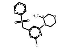 C[C@H]1COCCN1c1cc(CS(=O)(=O)c2ccccn2)nc(Cl)n1